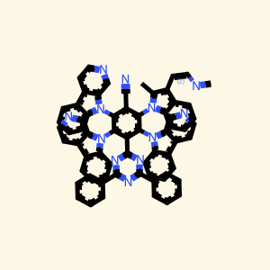 C=N/C=C\c1c(C)n(-c2c(C#N)c(-n3c4ccccc4c4ccncc43)c(-n3c4ccccc4c4ccncc43)c(-c3nc(-c4ccccc4)nc(-c4ccccc4)n3)c2-n2c3ccccc3c3ccncc32)c2ccccc12